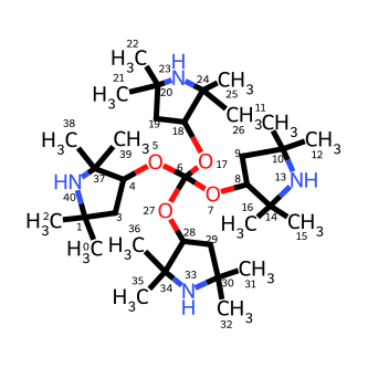 CC1(C)CC(OC(OC2CC(C)(C)NC2(C)C)(OC2CC(C)(C)NC2(C)C)OC2CC(C)(C)NC2(C)C)C(C)(C)N1